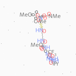 CNC(=O)CCC(=O)O[C@@H]1C[C@@H](COC(c2ccccc2)(c2ccc(OC)cc2)c2ccc(OC)cc2)N(C(=O)CCCSSCCNC(=O)CCCCCCNC(=O)CC[C@H](NC(=O)c2ccc(N(Cc3cnc4nc(NC(=O)C(C)C)[nH]c(=O)c4n3)C(=O)C(F)(F)F)cc2)C(=O)OC)C1